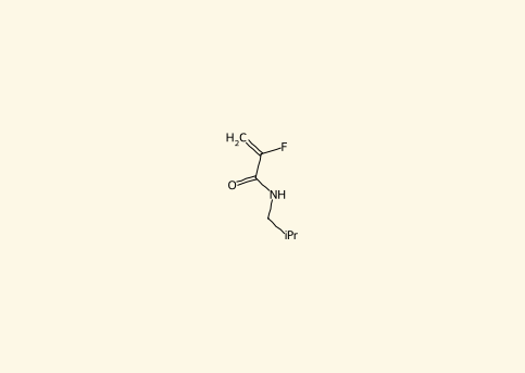 C=C(F)C(=O)NCC(C)C